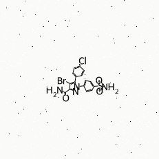 NC(=O)c1nn(-c2ccc(S(N)(=O)=O)cc2)c(-c2ccc(Cl)cc2)c1Br